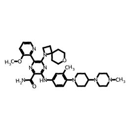 COc1cccnc1-c1nc(C(N)=O)c(Nc2ccc(N3CCC(N4CCN(C)CC4)CC3)c(C)c2)nc1N1CCC12CCOCC2